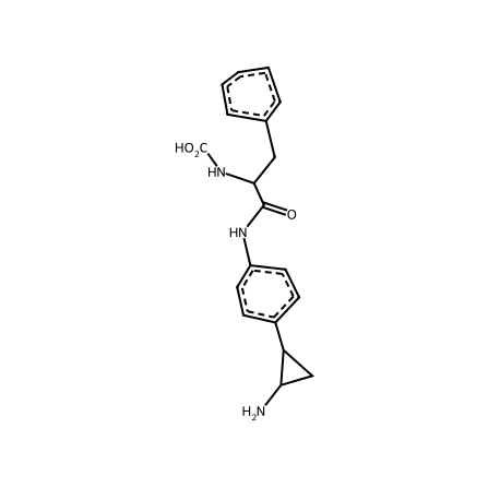 NC1CC1c1ccc(NC(=O)C(Cc2ccccc2)NC(=O)O)cc1